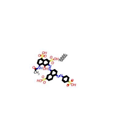 CC(=O)Nc1ccc(S(=O)(=O)O)c2cc(S(=O)(=O)O)c(N=Nc3ccc(N=Nc4ccc(S(=O)(=O)O)cc4)c4ccc(S(=O)(=O)O)cc34)c(O)c12.[Na].[Na].[Na].[Na]